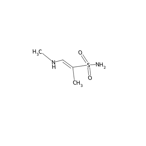 CN/C=C(\C)S(N)(=O)=O